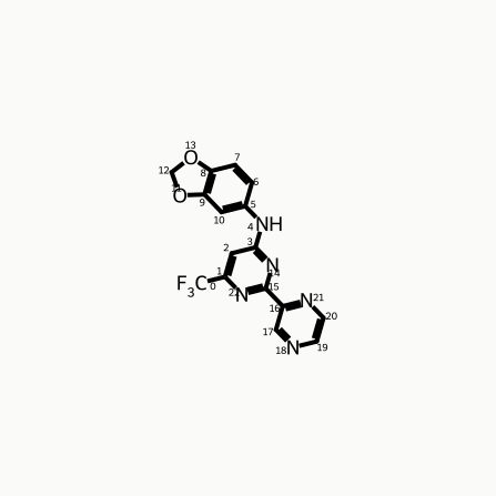 FC(F)(F)c1cc(Nc2ccc3c(c2)OCO3)nc(-c2cnccn2)n1